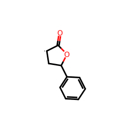 O=C1[CH]CC(c2ccccc2)O1